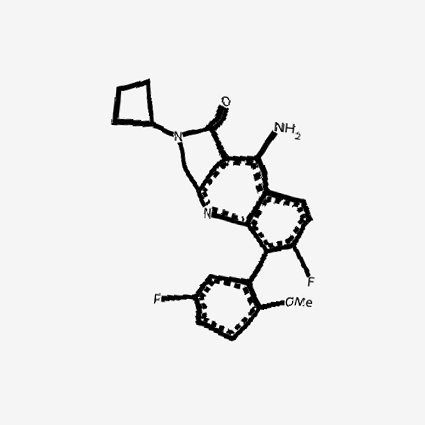 COc1ccc(F)cc1-c1c(F)ccc2c(N)c3c(nc12)CN(C1CCC1)C3=O